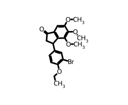 CCOc1ccc(C2CC(=O)c3cc(OC)c(OC)c(OC)c32)cc1Br